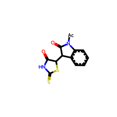 CC(=O)N1C(=O)C(C2SC(=S)NC2=O)c2ccccc21